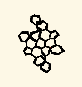 c1ccc(-c2ccc3c(-n4c(-c5ccccc5)ccc4-c4ccccc4)c4cc(-c5ccccc5)ccc4c(-n4c(-c5ccccc5)ccc4-c4ccccc4)c3c2)cc1